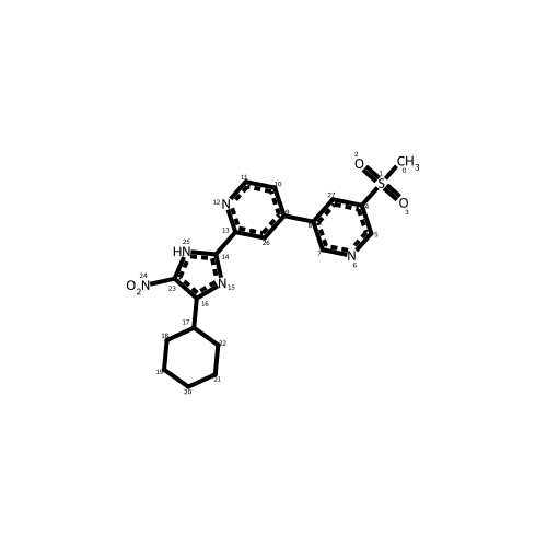 CS(=O)(=O)c1cncc(-c2ccnc(-c3nc(C4CCCCC4)c([N+](=O)[O-])[nH]3)c2)c1